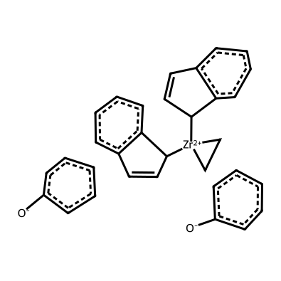 C1=C[CH]([Zr+2]2([CH]3C=Cc4ccccc43)[CH2][CH2]2)c2ccccc21.[O-]c1ccccc1.[O-]c1ccccc1